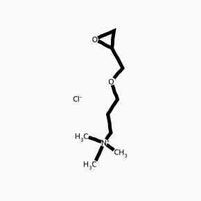 C[N+](C)(C)CCCOCC1CO1.[Cl-]